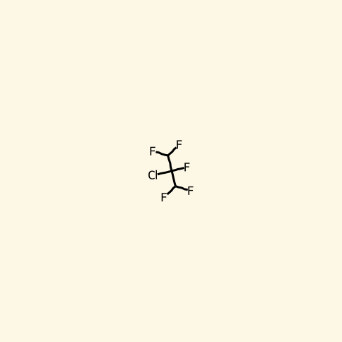 FC(F)C(F)(Cl)C(F)F